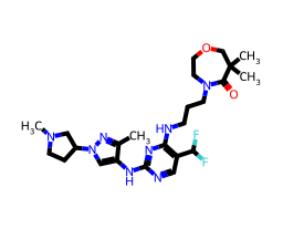 Cc1nn(C2CCN(C)C2)cc1Nc1ncc(C(F)F)c(NCCCN2CCOCC(C)(C)C2=O)n1